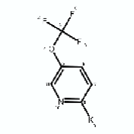 FC(F)(F)Oc1cc[c]([K])nc1